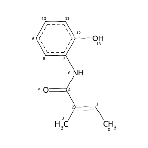 CC=C(C)C(=O)Nc1ccccc1O